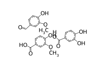 COc1cc(C(=O)O)ccc1O.COc1cc(C=O)ccc1O.O=C(O)c1ccc(O)c(O)c1